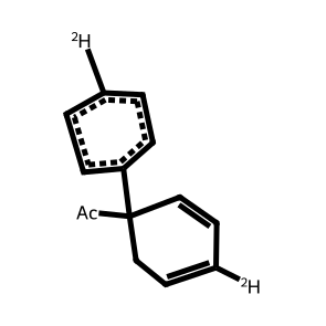 [2H]C1=CCC(C(C)=O)(c2ccc([2H])cc2)C=C1